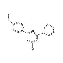 C=Cc1ccc(-c2nc(Cl)nc(-c3ccccc3)n2)cc1